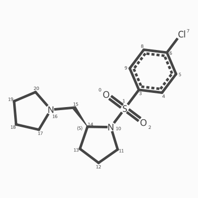 O=S(=O)(c1ccc(Cl)cc1)N1CCC[C@H]1CN1CCCC1